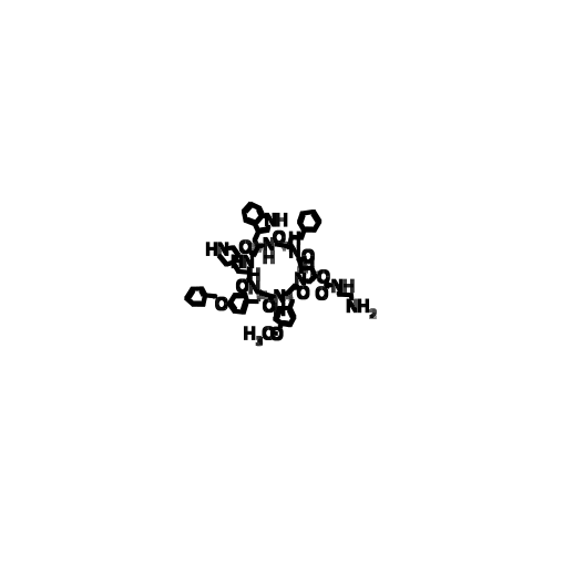 COc1ccc(C[C@@H]2NC(=O)[C@H](Cc3ccc(OCc4ccccc4)cc3)NC(=O)C(CC3CCNCC3)NC(=O)[C@@H](Cc3c[nH]c4ccccc34)NC(=O)[C@@H](CCc3ccccc3)NC(=O)[C@@H]3C[C@@H](OC(=O)NCCN)CN3C2=O)cc1